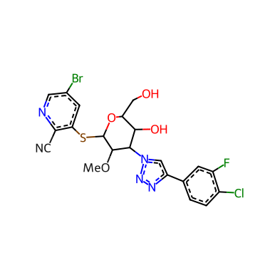 COC1C(Sc2cc(Br)cnc2C#N)OC(CO)C(O)C1n1cc(-c2ccc(Cl)c(F)c2)nn1